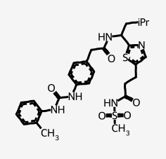 Cc1ccccc1NC(=O)Nc1ccc(CC(=O)NC(CC(C)C)c2ncc(CCC(=O)NS(C)(=O)=O)s2)cc1